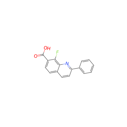 O=C(O)c1ccc2ccc(-c3ccccc3)nc2c1F